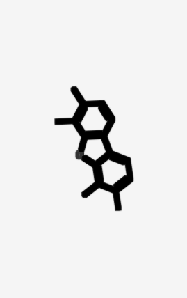 Cc1ccc2c(oc3c(C)c(C)ccc32)c1C